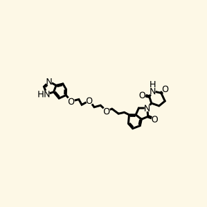 O=C1CCC(N2Cc3c(CCCOCCOCCOc4ccc5nc[nH]c5c4)cccc3C2=O)C(=O)N1